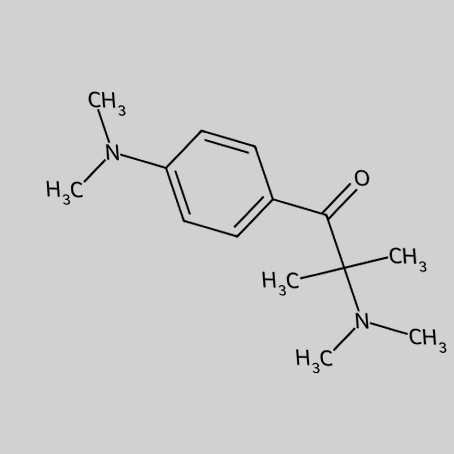 CN(C)c1ccc(C(=O)C(C)(C)N(C)C)cc1